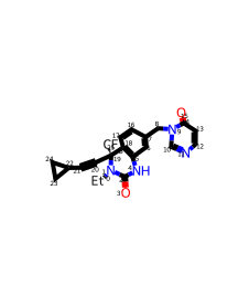 CCN1C(=O)Nc2cc(Cn3cnccc3=O)ccc2[C@@]1(C#CC1CC1)C(F)(F)F